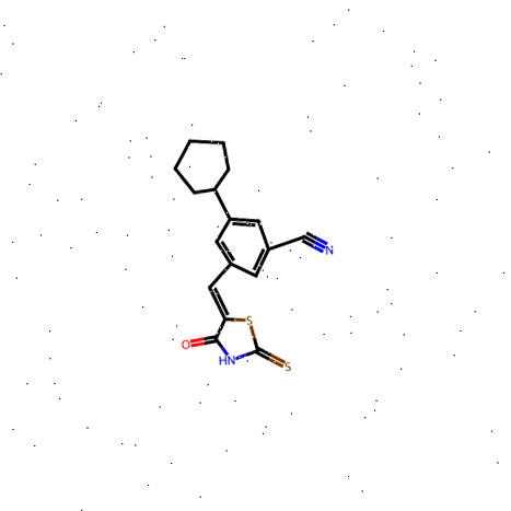 N#Cc1cc(/C=C2\SC(=S)NC2=O)cc(C2CCCCC2)c1